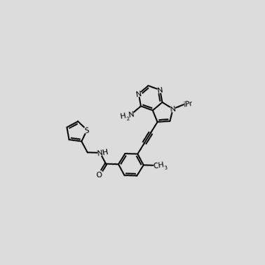 Cc1ccc(C(=O)NCc2cccs2)cc1C#Cc1cn(C(C)C)c2ncnc(N)c12